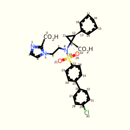 O=C(O)c1nccn1CCN([C@]1(C(=O)O)C[C@H]1c1ccccc1)S(=O)(=O)c1ccc(-c2ccc(Cl)cc2)cc1